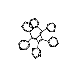 c1ccc(C2=C(c3cccnc3)C(=C(c3ccccc3)c3ccccc3)C2=C(c2ccccc2)c2ccccc2)cc1